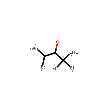 CCCCC(CC)C(O)C([C]=O)(CC)CC